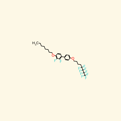 CCCCCCCCOc1ccc(-c2ccc(OCCCCC(F)(F)C(F)(F)C(F)(F)C(F)(F)F)cc2)c(F)c1F